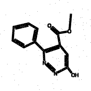 COC(=O)c1cc(O)nnc1-c1ccccc1